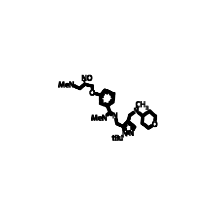 CNC[C@@H](COc1cccc(/C(=N/Cc2c(CN(C)C3CCOCC3)cnn2C(C)(C)C)NC)c1)N=O